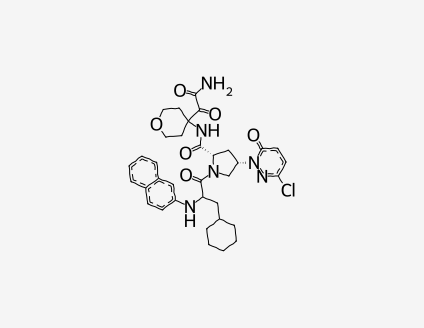 NC(=O)C(=O)C1(NC(=O)[C@@H]2C[C@H](n3nc(Cl)ccc3=O)CN2C(=O)C(CC2CCCCC2)Nc2ccc3ccccc3c2)CCOCC1